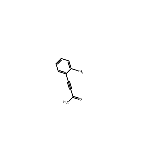 CC(=O)C#Cc1ccccc1C